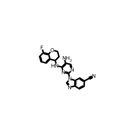 N#Cc1ccc2ncn(-c3ncc(N)c(NC4CCOc5c(F)cccc54)n3)c2c1